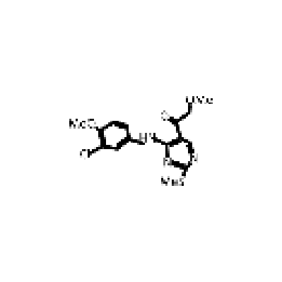 COCC(=O)c1cnc(SC)nc1NCc1ccc(OC)c(Cl)c1